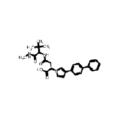 CNC(=O)C(NC(=O)C[C@H](C(=O)O)n1ccc(-c2ccc(-c3ccccc3)cc2)c1)C(C)(C)C